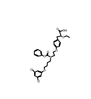 CCOC(Cc1ccc(OCCN(CCCCOc2cc(Cl)cc(Cl)c2)C(=O)Oc2ccccc2)cc1)C(=O)O